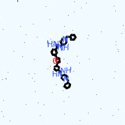 N=C(NC1CCN(Cc2ccccc2)CC1)c1cccc(-c2ccc(-c3cccc(C(=N)NC4CCN(Cc5ccccc5)CC4)c3)o2)c1